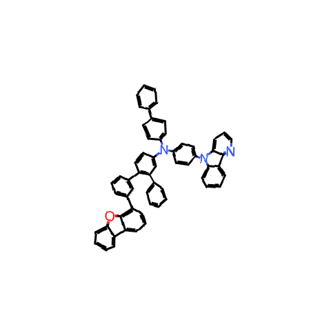 c1ccc(-c2ccc(N(c3ccc(-n4c5ccccc5c5ncccc54)cc3)c3ccc(-c4cccc(-c5cccc6c5oc5ccccc56)c4)c(-c4ccccc4)c3)cc2)cc1